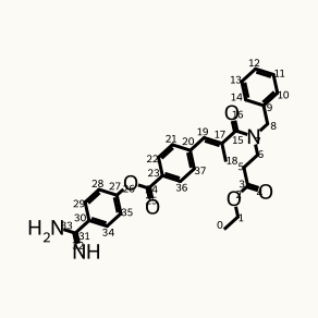 CCOC(=O)CCN(Cc1ccccc1)C(=O)/C(C)=C/c1ccc(C(=O)Oc2ccc(C(=N)N)cc2)cc1